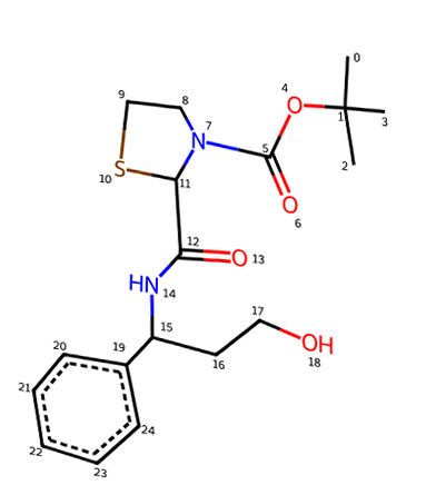 CC(C)(C)OC(=O)N1CCSC1C(=O)NC(CCO)c1ccccc1